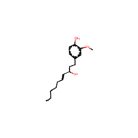 CCCCCC=CC(O)CCc1ccc(O)c(OC)c1